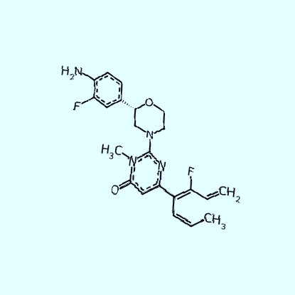 C=C/C(F)=C(\C=C/C)c1cc(=O)n(C)c(N2CCO[C@@H](c3ccc(N)c(F)c3)C2)n1